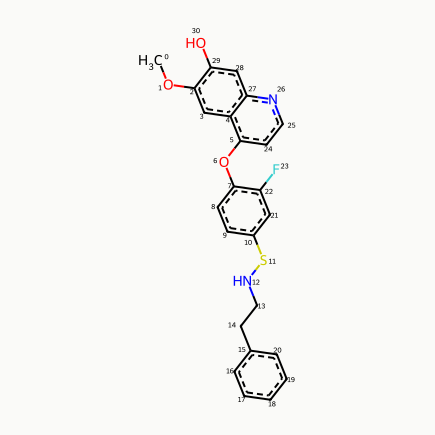 COc1cc2c(Oc3ccc(SNCCc4ccccc4)cc3F)ccnc2cc1O